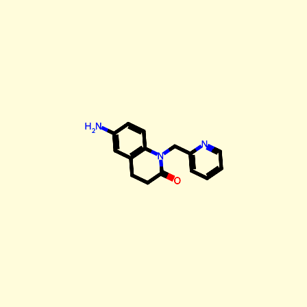 Nc1ccc2c(c1)CCC(=O)N2Cc1ccccn1